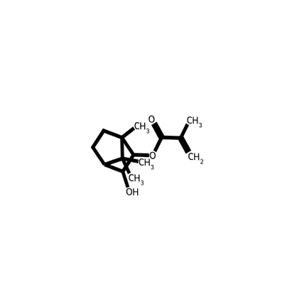 C=C(C)C(=O)OC1C(O)C2CCC1(C)C2(C)C